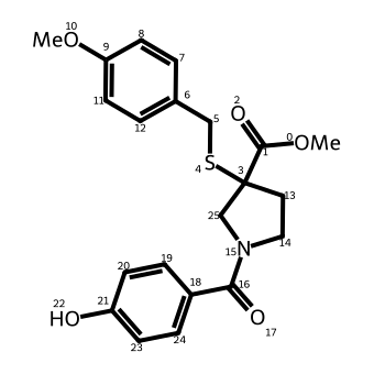 COC(=O)C1(SCc2ccc(OC)cc2)CCN(C(=O)c2ccc(O)cc2)C1